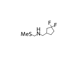 CSCNCC1CCC(F)(F)C1